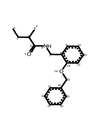 CCC(I)C(=O)NCc1ccccc1OCc1ccccc1